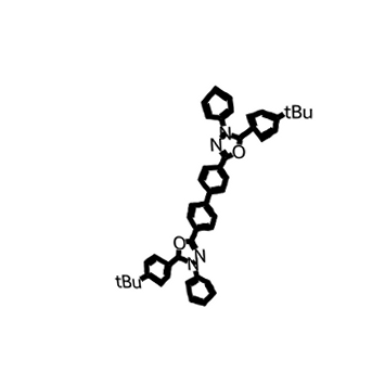 CC(C)(C)c1ccc(C2OC(c3ccc(-c4ccc(C5=NN(c6ccccc6)C(c6ccc(C(C)(C)C)cc6)O5)cc4)cc3)=NN2c2ccccc2)cc1